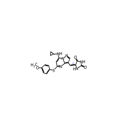 COc1ccc(Sc2cc(NC3CC3)n3ncc(/C=C4/NC(=O)NC4=O)c3n2)cc1